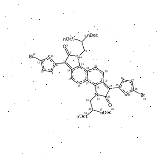 CCCCCCCCCCC(CCCCCCCC)CN1C(=O)C(c2ccc(Br)s2)=c2ccc3c4c(ccc3c21)=C(c1ccc(Br)s1)C(=O)N4CC(CCCCCCCC)CCCCCCCCCC